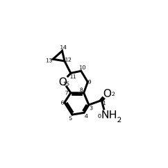 NC(=O)c1cccc2c1CCC(C1CC1)O2